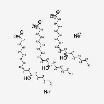 CCCCCCC(O)C/C=C\CCCCCCCC(=O)[O-].CCCCCCC(O)C/C=C\CCCCCCCC(=O)[O-].CCCCCCC(O)C/C=C\CCCCCCCC(=O)[O-].[K+].[Na+].[Na+]